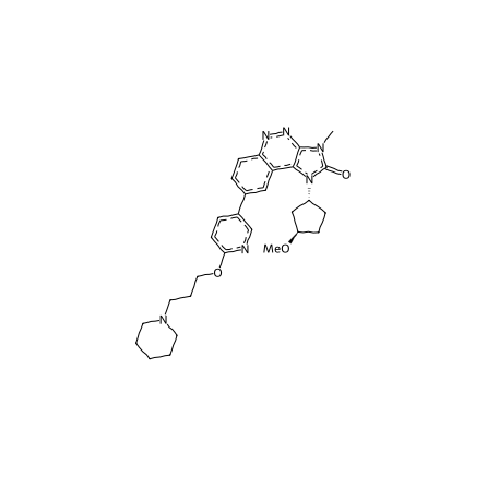 CO[C@@H]1CC[C@@H](n2c(=O)n(C)c3nnc4ccc(-c5ccc(OCCCN6CCCCC6)nc5)cc4c32)C1